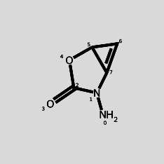 NN1C(=O)OC2C=C21